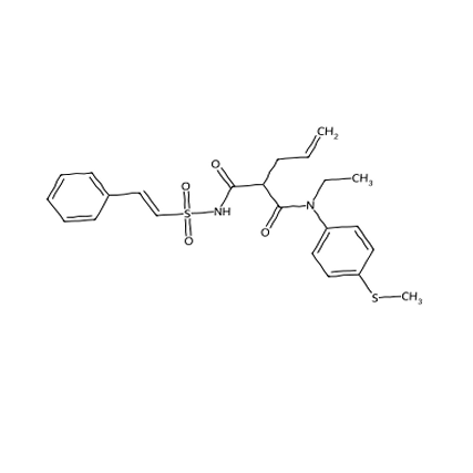 C=CCC(C(=O)NS(=O)(=O)/C=C/c1ccccc1)C(=O)N(CC)c1ccc(SC)cc1